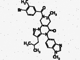 Cc1cc(C(=O)N2Cc3c(c(=O)n(-c4ccc5c(c4)ncn5C)c4c(CC(C)C)cnn34)C[C@@H]2C)ccc1Br